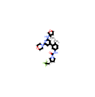 Cc1ccc(NC(=O)N2CC[C@@H](CC(F)(F)F)C2)cc1-c1cc(NC2(C)CCOC2)nc(N2CCOCC2)c1